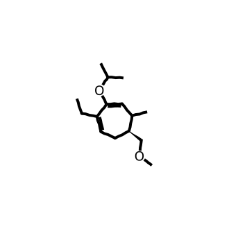 CCC1=CC[C@H](COC)C(C)C=C1OC(C)C